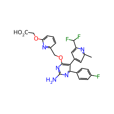 Cc1cc(-c2c(OCc3cccc(OCC(=O)O)n3)nc(N)nc2-c2ccc(F)cc2)cc(C(F)F)n1